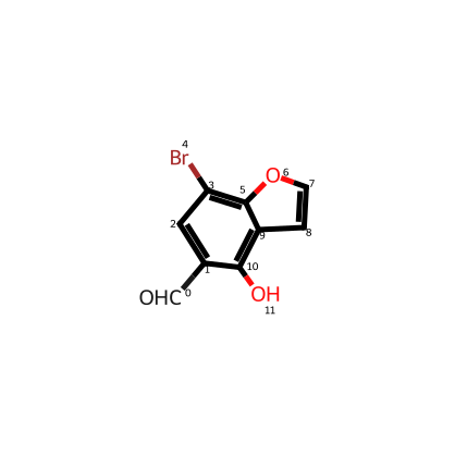 O=Cc1cc(Br)c2occc2c1O